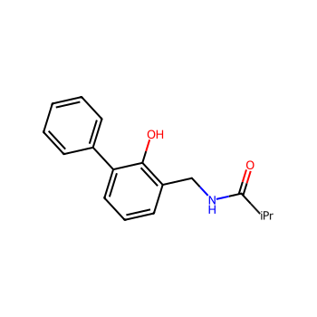 CC(C)C(=O)NCc1cccc(-c2ccccc2)c1O